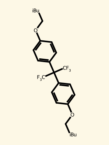 CCC(C)COc1ccc(C(c2ccc(OCC(C)CC)cc2)(C(F)(F)F)C(F)(F)F)cc1